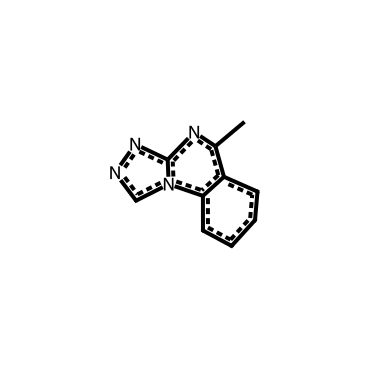 Cc1nc2nncn2c2ccccc12